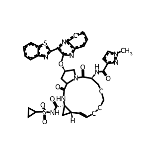 Cn1ccc(C(=O)N[C@H]2CCCCC/C=C/[C@@H]3C[C@@]3(C(=O)NS(=O)(=O)C3CC3)NC(=O)C3C[C@@H](Oc4nc5ccccc5nc4-c4nc5ccccc5s4)CN3C2=O)n1